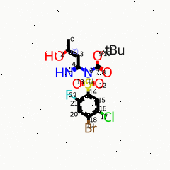 C/C(O)=C/C(=N)N(C(=O)OC(C)(C)C)S(=O)(=O)c1cc(Cl)c(Br)cc1F